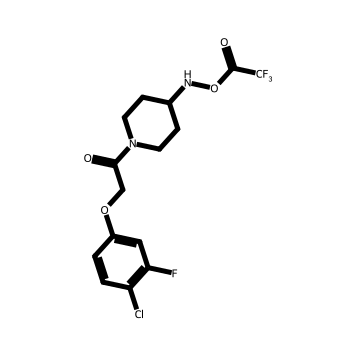 O=C(COc1ccc(Cl)c(F)c1)N1CCC(NOC(=O)C(F)(F)F)CC1